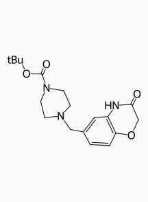 CC(C)(C)OC(=O)N1CCN(Cc2ccc3c(c2)NC(=O)CO3)CC1